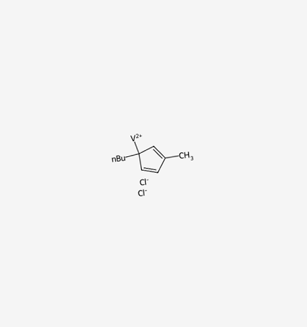 CCCC[C]1([V+2])C=CC(C)=C1.[Cl-].[Cl-]